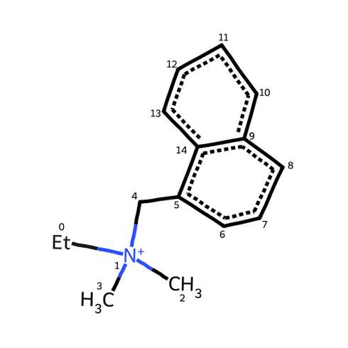 CC[N+](C)(C)Cc1cccc2ccccc12